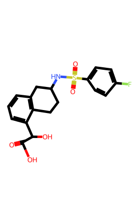 O=C(O)C(O)c1cccc2c1CCC(NS(=O)(=O)c1ccc(F)cc1)C2